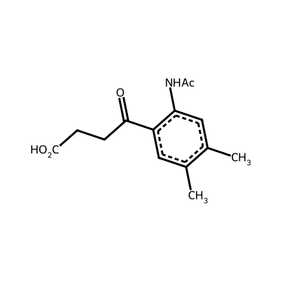 CC(=O)Nc1cc(C)c(C)cc1C(=O)CCC(=O)O